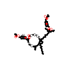 C=CC(=O)OCC1CC2C3CC(CC3CC3(C)CCCCCCC(C)(CCC)CCCC4C(CCCCCCCC)CCC(CCCCCCCCC(CCCC)(CCCC)C(=O)OCC5CC6CC5C5CC(COC(=O)C(=C)C)CC65)C4CCCCCCCCC(=O)O3)[C@H]2C1